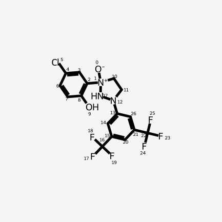 [O-][N+]1(c2cc(Cl)ccc2O)CCN(c2cc(C(F)(F)F)cc(C(F)(F)F)c2)N1